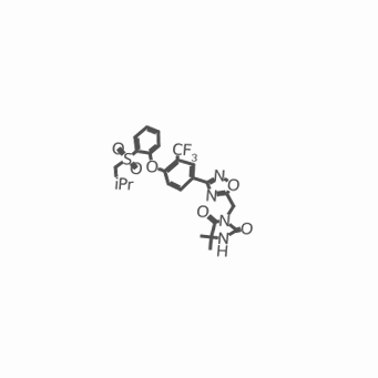 CC(C)CS(=O)(=O)c1ccccc1Oc1ccc(-c2noc(CN3C(=O)NC(C)(C)C3=O)n2)cc1C(F)(F)F